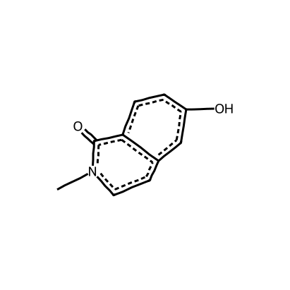 Cn1ccc2cc(O)ccc2c1=O